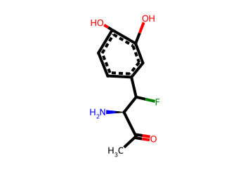 CC(=O)[C@@H](N)C(F)c1ccc(O)c(O)c1